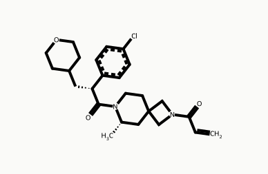 C=CC(=O)N1CC2(CCN(C(=O)[C@H](CC3CCOCC3)c3ccc(Cl)cc3)[C@@H](C)C2)C1